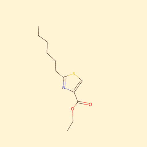 CCCCCCc1nc(C(=O)OCC)cs1